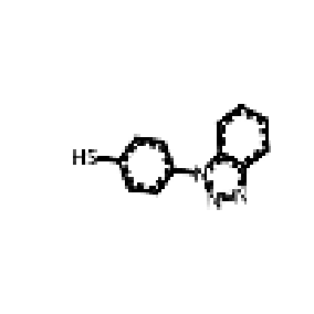 Sc1ccc(-n2nnc3ccccc32)cc1